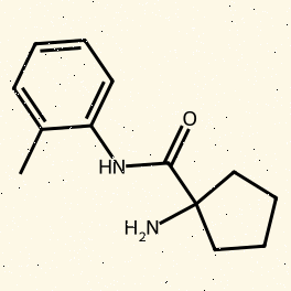 Cc1ccccc1NC(=O)C1(N)CCCC1